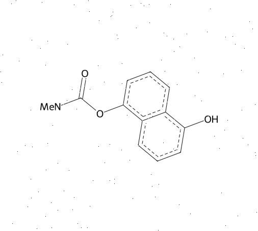 CNC(=O)Oc1cccc2c(O)cccc12